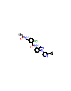 CC(C)(C)C(=O)NCc1ccc(Cl)c(C(=O)Nc2cccc3c2cnn3-c2ccnc(C3CC3)c2)c1